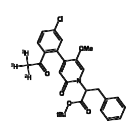 [2H]C([2H])([2H])C(=O)c1ccc(Cl)cc1-c1cc(=O)n(C(Cc2ccccc2)C(=O)OC(C)(C)C)cc1OC